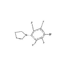 Fc1c(F)c(N2CCCC2)c(F)c(F)c1Br